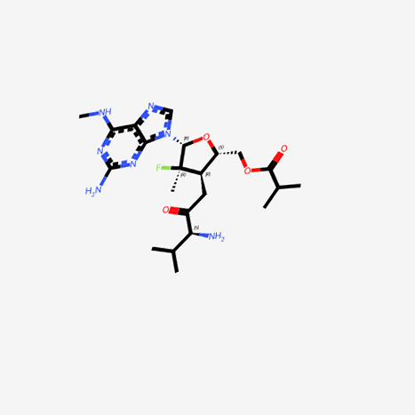 CNc1nc(N)nc2c1ncn2[C@@H]1O[C@H](COC(=O)C(C)C)[C@@H](CC(=O)[C@@H](N)C(C)C)[C@@]1(C)F